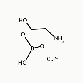 NCCO.[Cu+2].[O-]B([O-])O